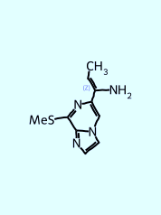 C/C=C(\N)c1cn2ccnc2c(SC)n1